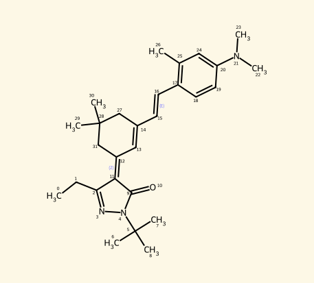 CCC1=NN(C(C)(C)C)C(=O)/C1=C1C=C(/C=C/c2ccc(N(C)C)cc2C)CC(C)(C)C\1